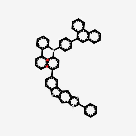 c1ccc(-c2nc3cc4c(cc3o2)oc2ccc(-c3ccc(N(c5ccc(-c6cc7ccccc7c7ccccc67)cc5)c5ccccc5-c5ccccc5)cc3)cc24)cc1